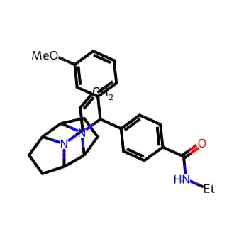 C=CCN1C2CCC1C1CCC2N1C(c1ccc(C(=O)NCC)cc1)c1cccc(OC)c1